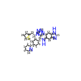 c1ccc(-c2ccc(C(Nc3ccc4[nH]cnc4c3)c3nnnn3CCc3cccs3)cc2)nc1